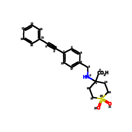 O=C(O)C1(NCc2ccc(C#Cc3ccccc3)cc2)CCS(=O)(=O)CC1